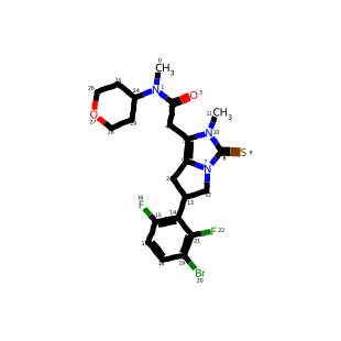 CN(C(=O)Cc1c2n(c(=S)n1C)CC(c1c(F)ccc(Br)c1F)C2)C1CCOCC1